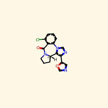 O=C1c2c(Cl)cccc2-n2cnc(-c3cnco3)c2[C@@H]2CCCN12